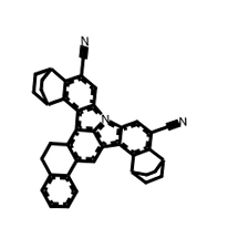 N#Cc1cc2c(c3c1C1CCC3CC1)c1cc3c(c4c5c6c(c(C#N)cc5n2c14)C1CCC6CC1)CCc1ccccc1-3